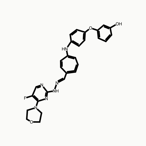 Oc1cccc(Oc2ccc(NC3=CC=C=C(/C=N/Nc4ncc(F)c(N5CCOCC5)n4)C=C3)cc2)c1